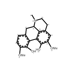 COc1ccc2c(c1O)-c1c(O)c(OC)cc3c1C(C2)N(C)CC3